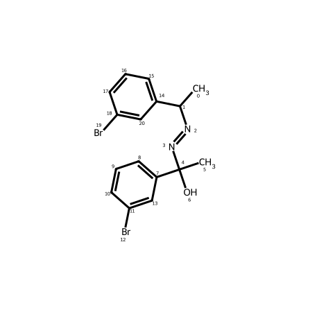 CC(N=NC(C)(O)c1cccc(Br)c1)c1cccc(Br)c1